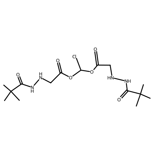 CC(C)(C)C(=O)NNCC(=O)OC(Cl)OC(=O)CNNC(=O)C(C)(C)C